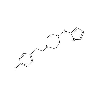 Fc1ccc(CCN2CCC(Sc3cccs3)CC2)cc1